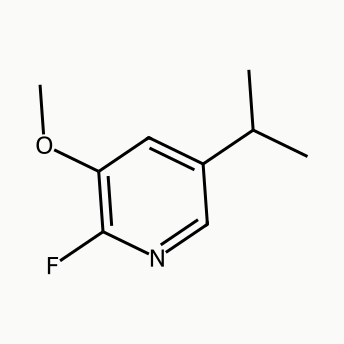 COc1cc(C(C)C)cnc1F